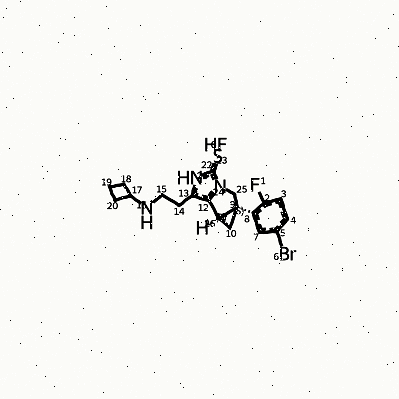 F.Fc1ccc(Br)cc1[C@]12C[C@H]1c1c(CCNC3CCC3)[nH]c(=S)n1C2